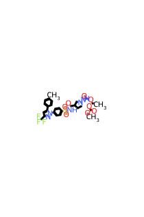 COC(=O)OC(C)On1on1N1CCC(C(=O)NS(=O)(=O)c2ccc(-n3nc(C(F)(F)F)cc3-c3ccc(C)cc3)cc2)C1